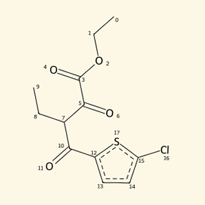 CCOC(=O)C(=O)C(CC)C(=O)c1ccc(Cl)s1